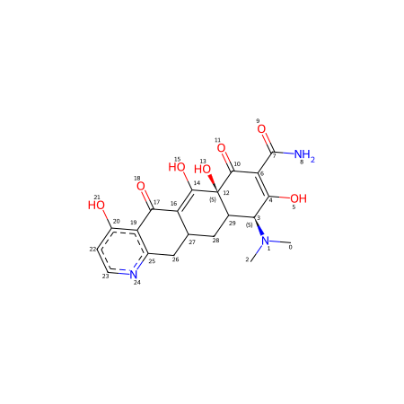 CN(C)[C@@H]1C(O)=C(C(N)=O)C(=O)[C@@]2(O)C(O)=C3C(=O)c4c(O)ccnc4CC3CC12